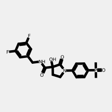 CP(C)(=O)c1ccc(N2CCC(O)(C(=O)NCc3cc(F)cc(F)c3)C2=O)cc1